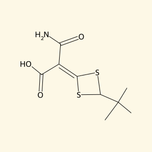 CC(C)(C)C1SC(=C(C(N)=O)C(=O)O)S1